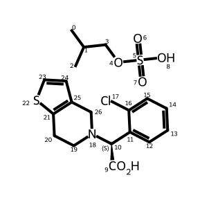 CC(C)COS(=O)(=O)O.O=C(O)[C@H](c1ccccc1Cl)N1CCc2sccc2C1